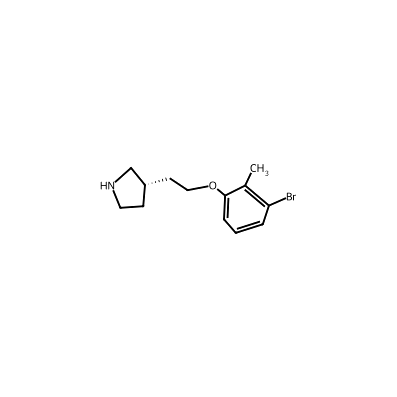 Cc1c(Br)cccc1OCC[C@@H]1CCNC1